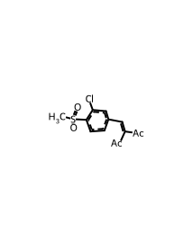 CC(=O)C(=Cc1ccc(S(C)(=O)=O)c(Cl)c1)C(C)=O